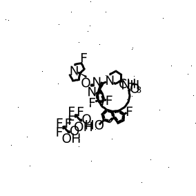 C[C@@]12CCCN(C1)c1nc(OC[C@@]34CCCN3C[C@H](F)C4)nc3c(F)c(c(F)cc13)-c1cc(O)cc3ccc(F)c(c13)CCCC(=O)N2.O=C(O)C(F)(F)F.O=C(O)C(F)(F)F